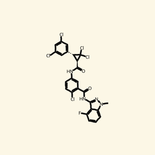 Cn1nc(NC(=O)c2cc(NC(=O)[C@H]3[C@H](c4cc(Cl)cc(Cl)c4)C3(Cl)Cl)ccc2Cl)c2c(F)cccc21